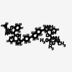 COC(=O)N[C@H](C(=O)N1CCC[C@H]1c1nc(-c2ccc3cc(-c4ccc(-c5cnc([C@@H]6CCCN6C(=O)[C@H](NC(=O)NC6CC6)c6ccccc6)[nH]5)cc4)ccc3c2)c[nH]1)C(C)C